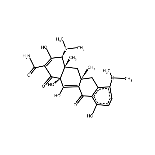 CN(C)c1ccc(O)c2c1C[C@@]1(C)C[C@@]3(C)[C@H](N(C)C)C(O)=C(C(N)=O)C(=O)[C@@]3(O)C(O)=C1C2=O